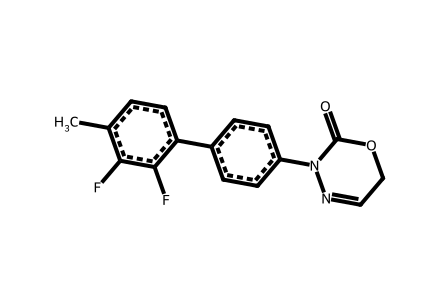 Cc1ccc(-c2ccc(N3N=CCOC3=O)cc2)c(F)c1F